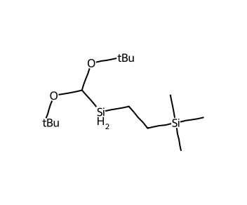 CC(C)(C)OC(OC(C)(C)C)[SiH2]CC[Si](C)(C)C